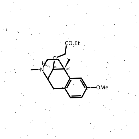 CCOC(=O)CO[C@@H]1C2Cc3ccc(OC)cc3[C@@]1(C)CCN2C